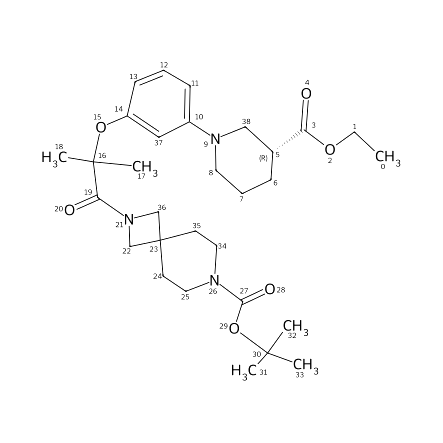 CCOC(=O)[C@@H]1CCCN(c2cccc(OC(C)(C)C(=O)N3CC4(CCN(C(=O)OC(C)(C)C)CC4)C3)c2)C1